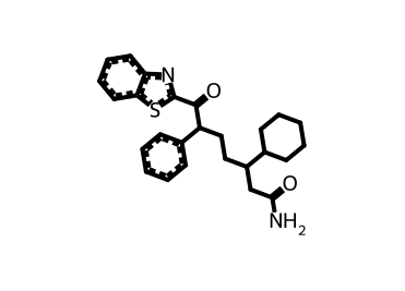 NC(=O)CC(CCC(C(=O)c1nc2ccccc2s1)c1ccccc1)C1CCCCC1